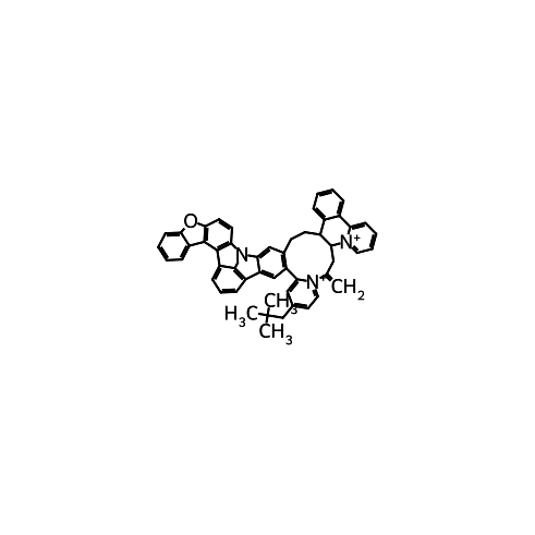 C=C1CC2C(CCc3cc4c(cc3-c3cc(CC(C)(C)C)cc[n+]31)c1cccc3c5c6c(ccc5n4c13)oc1ccccc16)c1ccccc1-c1cccc[n+]12